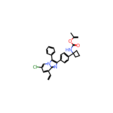 C=Cc1cc(Cl)cn2c(-c3ccccc3)c(-c3ccc(C4(NC(=O)OC(=C)C)CCC4)cc3)nc12